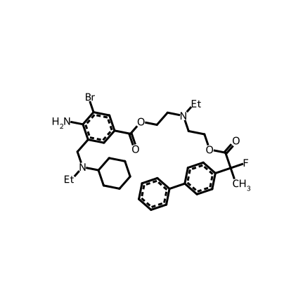 CCN(CCOC(=O)c1cc(Br)c(N)c(CN(CC)C2CCCCC2)c1)CCOC(=O)C(C)(F)c1ccc(-c2ccccc2)cc1